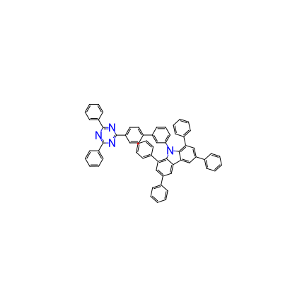 c1ccc(-c2cc(-c3ccccc3)c3c(c2)c2cc(-c4ccccc4)cc(-c4ccccc4)c2n3-c2cccc(-c3ccc(-c4nc(-c5ccccc5)nc(-c5ccccc5)n4)cc3)c2)cc1